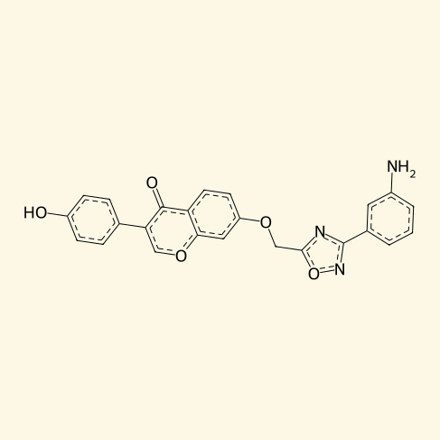 Nc1cccc(-c2noc(COc3ccc4c(=O)c(-c5ccc(O)cc5)coc4c3)n2)c1